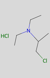 CCN(CC)C(C)CCl.Cl